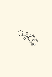 CN(C[C@@H](N)C(C)(C)C)S(=O)(=O)N1CCCCC1